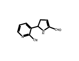 N#Cc1ncccc1C1CC=C(C=O)N1